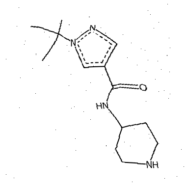 CC(C)(C)n1cc(C(=O)NC2CCNCC2)cn1